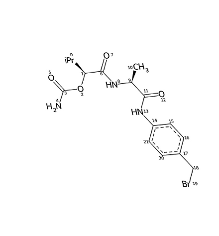 CC(C)[C@H](OC(N)=O)C(=O)N[C@@H](C)C(=O)Nc1ccc(CBr)cc1